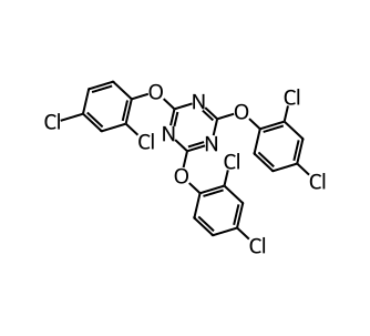 Clc1ccc(Oc2nc(Oc3ccc(Cl)cc3Cl)nc(Oc3ccc(Cl)cc3Cl)n2)c(Cl)c1